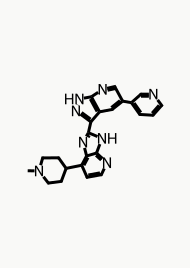 CN1CCC(c2ccnc3[nH]c(-c4n[nH]c5ncc(-c6cccnc6)cc45)nc23)CC1